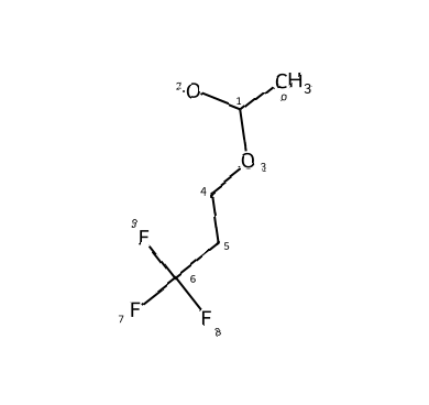 CC([O])OCCC(F)(F)F